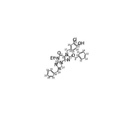 CCN1C(=O)c2c(nc(OCc3ccccc3)n2Cc2ccc(O)c(Cl)c2)N2C[C@@H](Cc3ccccc3)N=C12